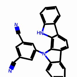 N#Cc1cc(C#N)cc(-n2c3ccccc3c3ccc4c5ccccc5[nH]c4c32)c1